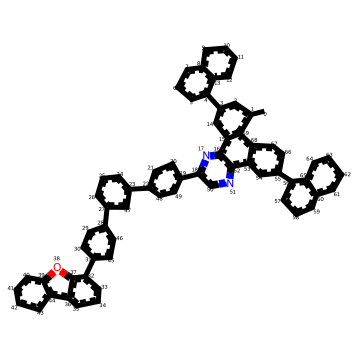 Cc1cc(-c2cccc3ccccc23)cc2c3nc(-c4ccc(-c5cccc(-c6ccc(-c7cccc8c7oc7ccccc78)cc6)c5)cc4)cnc3c3cc(-c4cccc5ccccc45)ccc3c12